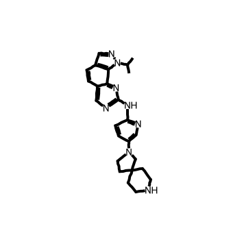 CC(C)n1ncc2ccc3cnc(Nc4ccc(N5CCC6(CCNCC6)C5)cn4)nc3c21